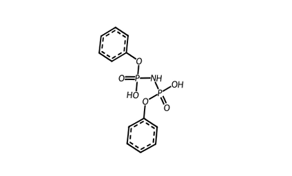 O=P(O)(NP(=O)(O)Oc1ccccc1)Oc1ccccc1